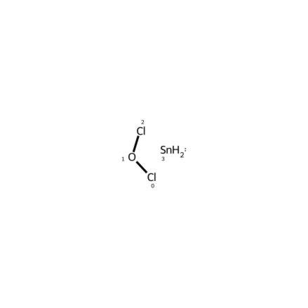 ClOCl.[SnH2]